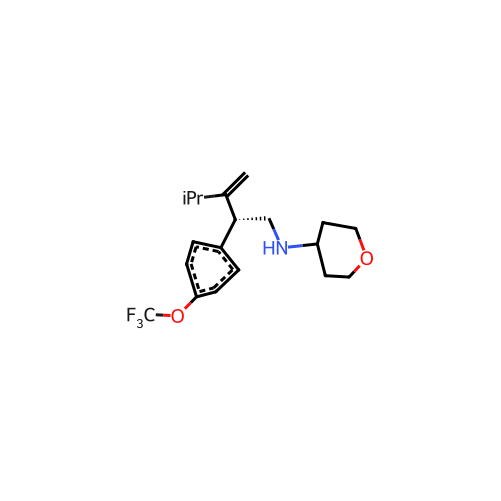 C=C(C(C)C)[C@H](CNC1CCOCC1)c1ccc(OC(F)(F)F)cc1